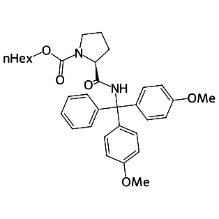 CCCCCCOC(=O)N1CCC[C@H]1C(=O)NC(c1ccccc1)(c1ccc(OC)cc1)c1ccc(OC)cc1